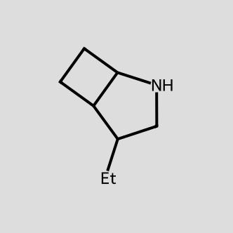 CCC1CNC2CCC12